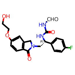 O=CNC(=O)N[C@@H](CN1Cc2cc(OCCO)ccc2C1=O)c1ccc(F)cc1